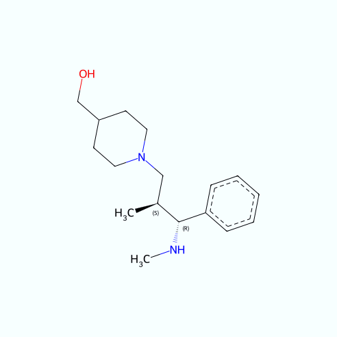 CN[C@@H](c1ccccc1)[C@@H](C)CN1CCC(CO)CC1